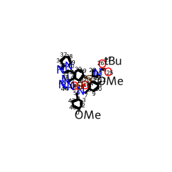 COc1ccc(CN(Cc2ccc(OC)cc2)S(=O)(=O)c2c(SC3CN(C(=O)OC(C)(C)C)C3)ccc(-c3cnc4ccccn34)c2C2=NCN=N2)cc1